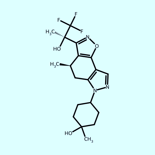 C[C@@H]1Cc2c(cnn2C2CCC(C)(O)CC2)-c2onc([C@@](C)(O)C(F)(F)F)c21